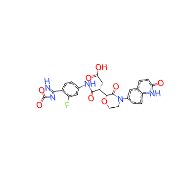 O=C(O)C[C@@H](C(=O)Nc1ccc(-c2nc(=O)o[nH]2)c(F)c1)[C@H]1OCCN(c2ccc3[nH]c(=O)ccc3c2)C1=O